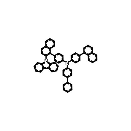 c1ccc(-c2ccc(N(c3ccc(-c4cccc5ccccc45)cc3)c3ccc(-c4c(-n5c6ccccc6c6ccccc65)ccc5ccccc45)cc3)cc2)cc1